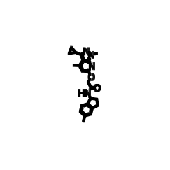 Cc1ccc2c(c1)CCC2NC(=O)COc1cc(C)c2c(C3CC3)nn(C)c2n1